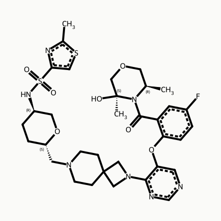 Cc1nc(S(=O)(=O)N[C@@H]2CC[C@@H](CN3CCC4(CC3)CN(c3ncncc3Oc3ccc(F)cc3C(=O)N3[C@H](C)COC[C@]3(C)O)C4)OC2)cs1